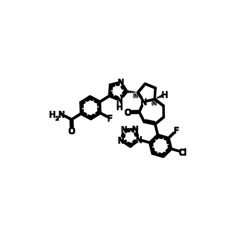 NC(=O)c1ccc(-c2cnc([C@@H]3CC[C@H]4CCC(c5c(-n6cnnn6)ccc(Cl)c5F)=CC(=O)N43)[nH]2)c(F)c1